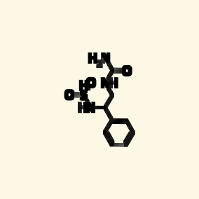 NC(=O)NCC(N[SH](=O)=O)c1ccccc1